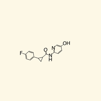 O=C(Nc1ccc(O)cn1)C1CC1c1ccc(F)cc1